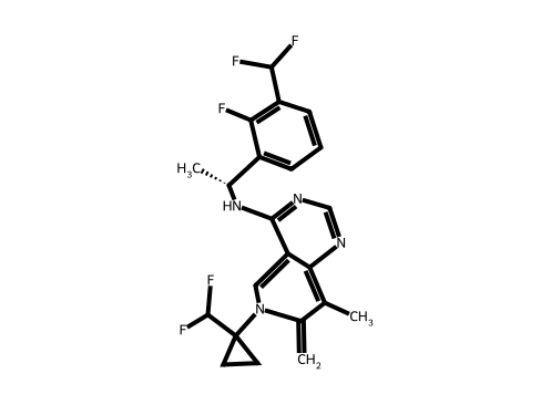 C=C1C(C)=c2ncnc(N[C@H](C)c3cccc(C(F)F)c3F)c2=CN1C1(C(F)F)CC1